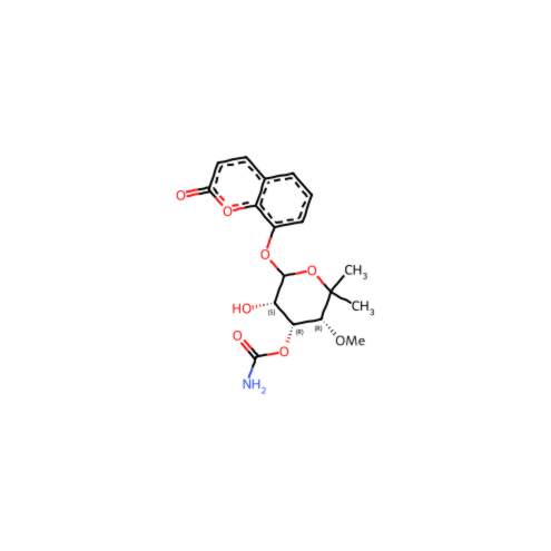 CO[C@@H]1[C@H](OC(N)=O)[C@H](O)C(Oc2cccc3ccc(=O)oc23)OC1(C)C